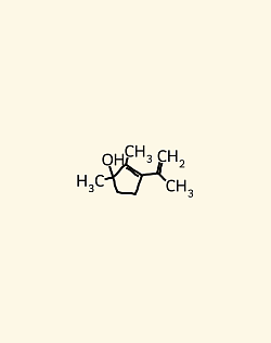 C=C(C)C1=C(C)C(C)(O)CC1